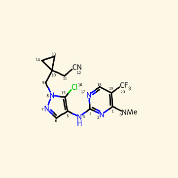 CNc1nc(Nc2cnn(CC3(CC#N)CC3)c2Cl)ncc1C(F)(F)F